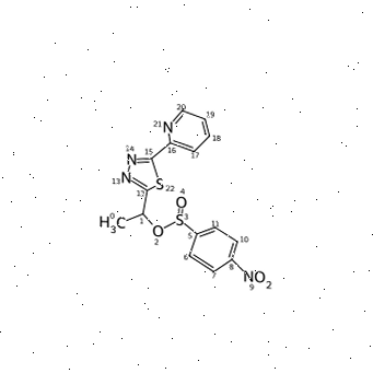 CC(OS(=O)c1ccc([N+](=O)[O-])cc1)c1nnc(-c2ccccn2)s1